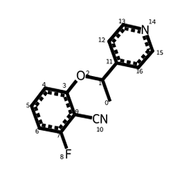 CC(Oc1cccc(F)c1C#N)c1ccncc1